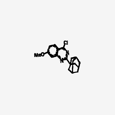 COc1ccc2c(Cl)nc(C34CC5CC(CC(C5)C3)C4)nc2c1